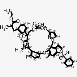 CCOC(=O)C(C)Cc1cccc(C2(C)CCC(C)(C)COc3ccn(n3)Cc3c(c(F)cc4c3ccn4S(=O)(=O)c3ccccc3)Oc3ccc(F)c(c3)-c3nc2nn3C)c1